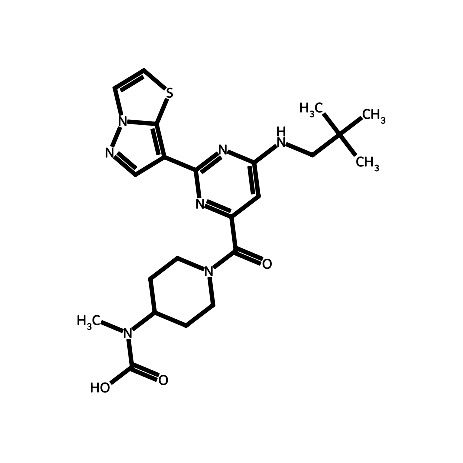 CN(C(=O)O)C1CCN(C(=O)c2cc(NCC(C)(C)C)nc(-c3cnn4ccsc34)n2)CC1